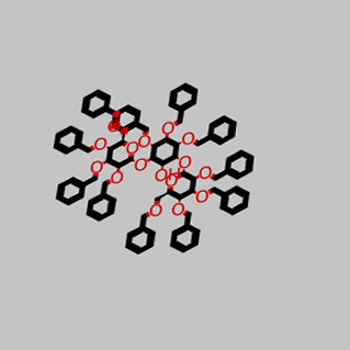 O[C@@H]1[C@@H](O[C@H]2O[C@H](COCc3ccccc3)[C@@H](OCc3ccccc3)[C@H](OCc3ccccc3)[C@@H]2OCc2ccccc2)[C@H](OCc2ccccc2)[C@@H](OCc2ccccc2)[C@H](OCc2ccccc2)[C@@H]1O[C@H]1O[C@H](COCc2ccccc2)[C@@H](OCc2ccccc2)[C@H](OCc2ccccc2)[C@@H]1OCc1ccccc1